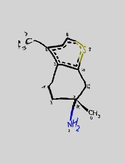 C[C@@]1(N)CCc2c(C(F)(F)F)csc2C1